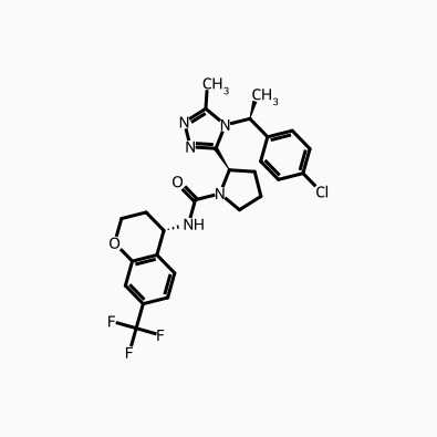 Cc1nnc([C@H]2CCCN2C(=O)N[C@H]2CCOc3cc(C(F)(F)F)ccc32)n1[C@@H](C)c1ccc(Cl)cc1